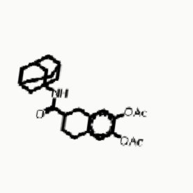 CC(=O)Oc1cc2c(cc1OC(C)=O)CC(C(=O)NC13CC4CC(CC(C4)C1)C3)CC2